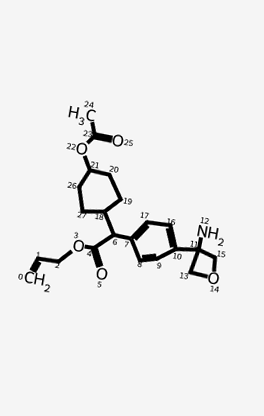 C=CCOC(=O)C(c1ccc(C2(N)COC2)cc1)C1CCC(OC(C)=O)CC1